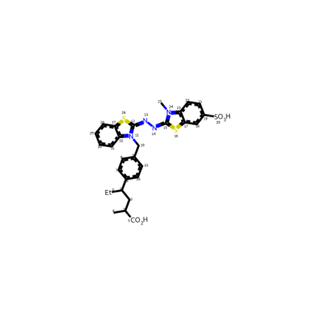 CCC(CC(C)C(=O)O)c1ccc(Cn2c(=NN=c3sc4cc(S(=O)(=O)O)ccc4n3C)sc3ccccc32)cc1